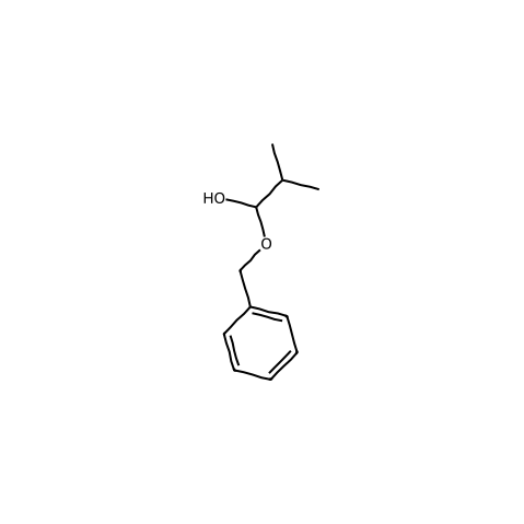 CC(C)C(O)OCc1ccccc1